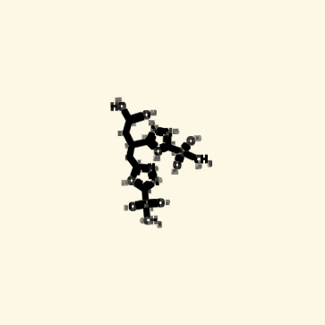 CS(=O)(=O)c1nnc(CC(CC(=O)O)c2nnc(S(C)(=O)=O)o2)o1